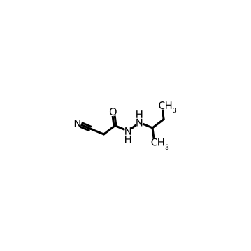 CCC(C)NNC(=O)CC#N